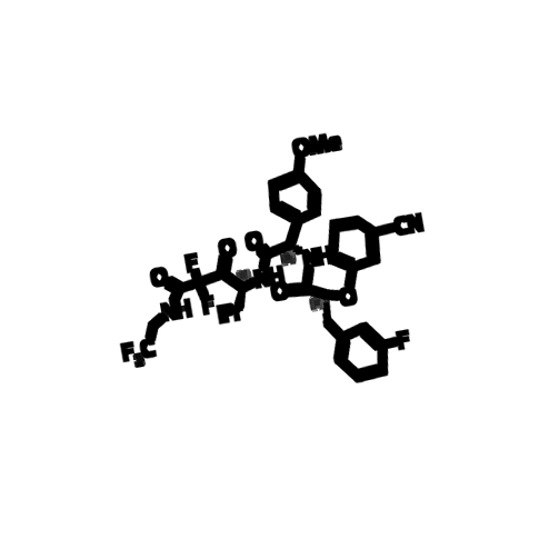 COc1ccc([C@H](NC(=O)[C@@H](Cc2cccc(F)c2)Oc2cccc(C#N)c2)C(=O)N[C@H](C(=O)C(F)(F)C(=O)NCC(F)(F)F)C(C)C)cc1